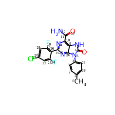 Cc1ccc(-n2c(=O)[nH]c3c(C(N)=O)nc(-c4c(F)cc(Cl)cc4F)nc32)cc1